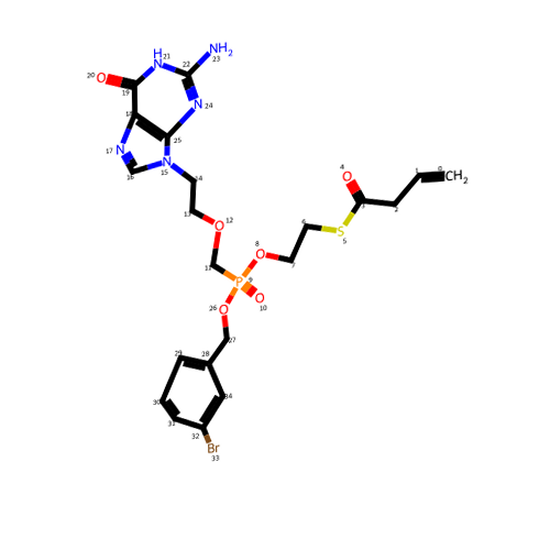 C=CCC(=O)SCCOP(=O)(COCCn1cnc2c(=O)[nH]c(N)nc21)OCc1cccc(Br)c1